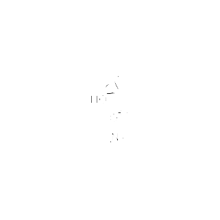 CC(C)(C)c1cc(CCC(=O)OCCN2C(C)(C)CCCC2(C)C)c(O)c(C(C)(C)C)c1